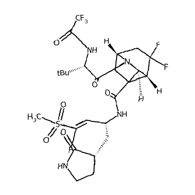 CC(C)(C)[C@H](NC(=O)C(F)(F)F)C(=O)N1[C@@H]2CC[C@H]([C@H]1C(=O)N[C@@H](/C=C(\F)S(C)(=O)=O)C[C@@H]1CCNC1=O)C(F)(F)C2